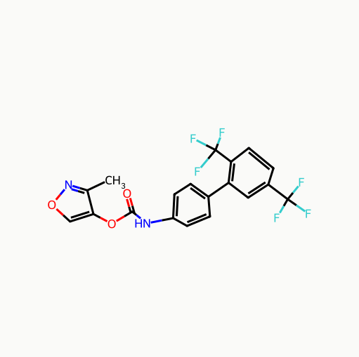 Cc1nocc1OC(=O)Nc1ccc(-c2cc(C(F)(F)F)ccc2C(F)(F)F)cc1